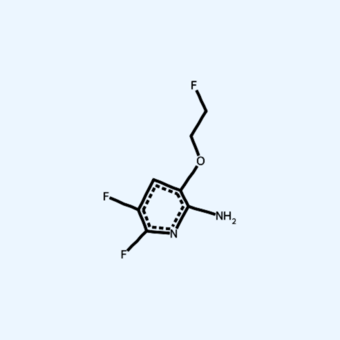 Nc1nc(F)c(F)cc1OCCF